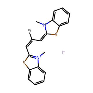 CCC(=Cc1sc2ccccc2[n+]1C)C=C1Sc2ccccc2N1C.[I-]